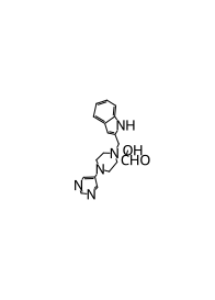 O=CO.c1ccc2[nH]c(CN3CCN(c4cncnc4)CC3)cc2c1